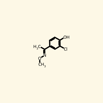 CON=C(C)c1ccc(O)c(Cl)c1